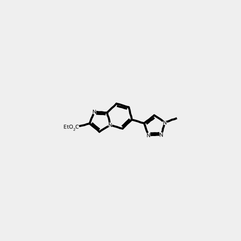 CCOC(=O)c1cn2cc(-c3cn(C)nn3)ccc2n1